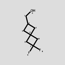 OCC1CC2(C1)CC(F)(F)C2